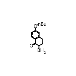 BC1CCc2cc(OCCCC)ccc2C1=O